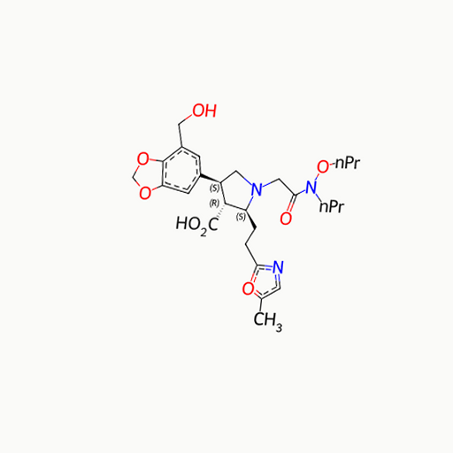 CCCON(CCC)C(=O)CN1C[C@H](c2cc(CO)c3c(c2)OCO3)[C@@H](C(=O)O)[C@@H]1CCc1ncc(C)o1